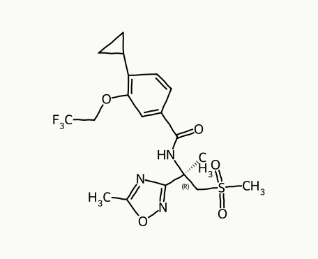 Cc1nc([C@](C)(CS(C)(=O)=O)NC(=O)c2ccc(C3CC3)c(OCC(F)(F)F)c2)no1